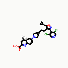 Cc1cc(C(=O)O)nc2ccc(N3CC4C(C=Cc5c(-c6c(Cl)cncc6Cl)noc5C5CC5)C4C3)cc12